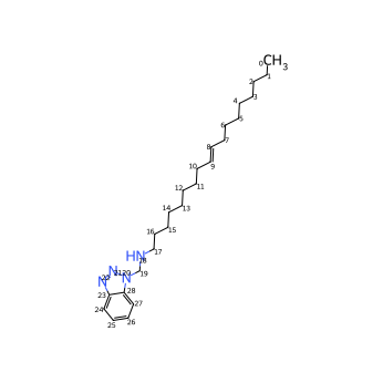 CCCCCCCC/C=C/CCCCCCCCNCn1nnc2ccccc21